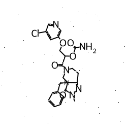 CN1N=C2CCN(C(=O)C(COc3cncc(Cl)c3)OC(N)=O)C[C@@]2(Cc2ccccc2)C1=O